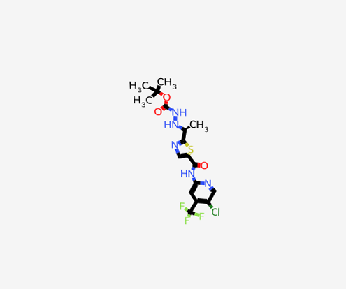 C[C@H](NNC(=O)OC(C)(C)C)c1ncc(C(=O)Nc2cc(C(F)(F)F)c(Cl)cn2)s1